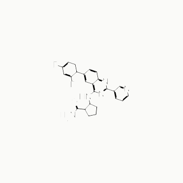 NC(=O)C1CCCC1Nc1nc(-c2cccnc2)nc2ccc(C3CC=C(F)C=C3F)cc12